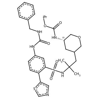 CC(C)OC(=O)N[C@@H]1COCC(CC(C)(C)NS(=O)(=O)c2cc(NC(=O)NCc3ccccc3)ccc2-c2cncs2)C1